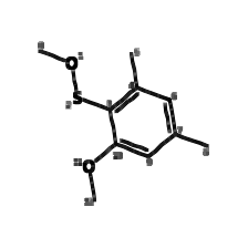 COSc1c(C)cc(C)cc1OC